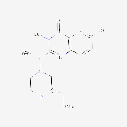 CCC[C@H](c1nc2ccc(Br)cc2c(=O)n1CC)N1CCN[C@@H](COC)C1